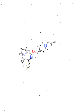 C=CCN1CCC(COc2nc3cc(F)ccc3n3cccc23)CC1